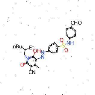 CCCCC(CC)Cn1c(O)c(/N=N/c2ccc(S(=O)(=O)Nc3ccc(C=O)cc3)cc2)c(C)c(C#N)c1=O